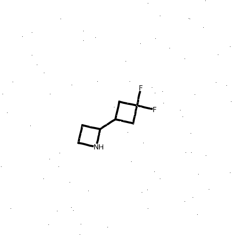 FC1(F)CC(C2CCN2)C1